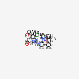 COC(=O)c1ccc2nc(CN3CCC(c4cccc5c4OC(C)(c4ccc(Cl)cn4)C=C5)CC3)n(CC3CCO3)c2c1